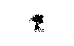 COc1ccc(/C=C/c2nn(C(c3ccccc3)(c3ccccc3)c3ccccc3)c3cc(F)c(N)cc23)cc1F